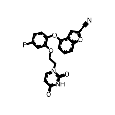 N#Cc1cc2c(Oc3ccc(F)cc3OCCn3ccc(=O)[nH]c3=O)cccc2o1